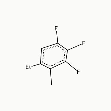 CCc1cc(F)c(F)c(F)c1C